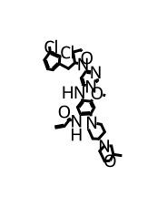 C=CC(=O)Nc1cc(Nc2cc(N3OCCC3Cc3cccc(Cl)c3Cl)ncn2)c(OC)cc1N1CCC(N2CCOC(C)C2)CC1